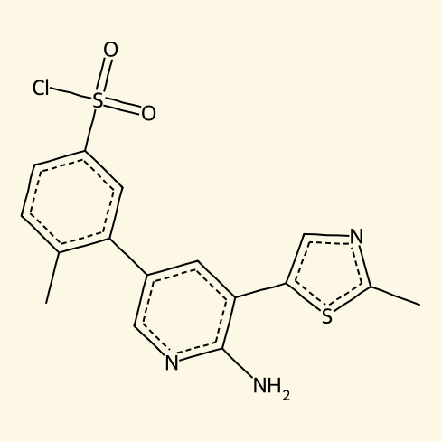 Cc1ncc(-c2cc(-c3cc(S(=O)(=O)Cl)ccc3C)cnc2N)s1